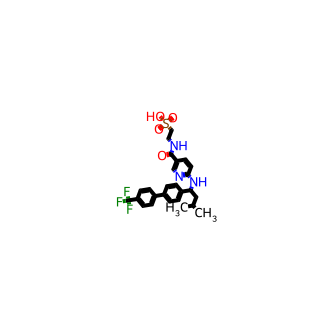 CC(C)CC(Nc1ccc(C(=O)NCCS(=O)(=O)O)cn1)c1ccc(-c2ccc(C(F)(F)F)cc2)cc1